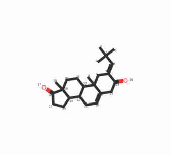 CC(C)(C)/C=C1\CC2(C)C(=CCC3C4CCC(=O)C4(C)CCC32)CC1=O